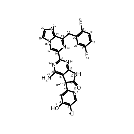 C[C@@]1(c2cc(O)c(Cl)cn2)C(=O)Nc2nc(-c3cn4ccnc4c(Cc4cc(F)ccc4F)n3)nc(N)c21